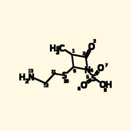 CC1C(=O)N(S(=O)(=O)O)C1SCCN